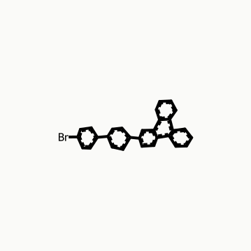 Brc1ccc(-c2ccc(-c3ccc4c5ccccc5c5ccccc5c4c3)cc2)cc1